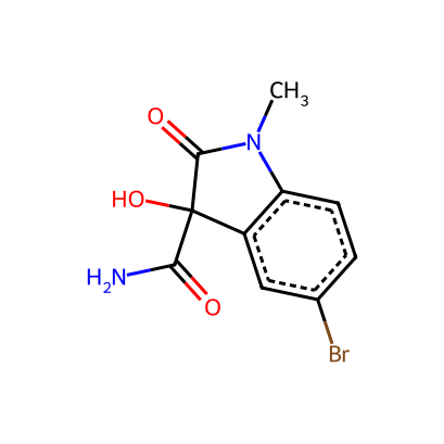 CN1C(=O)C(O)(C(N)=O)c2cc(Br)ccc21